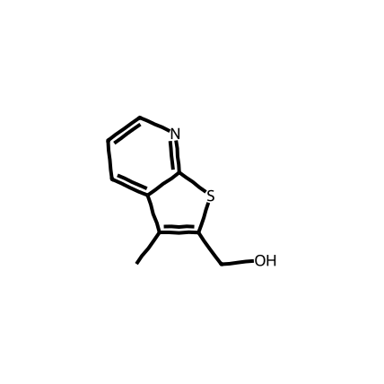 Cc1c(CO)sc2ncccc12